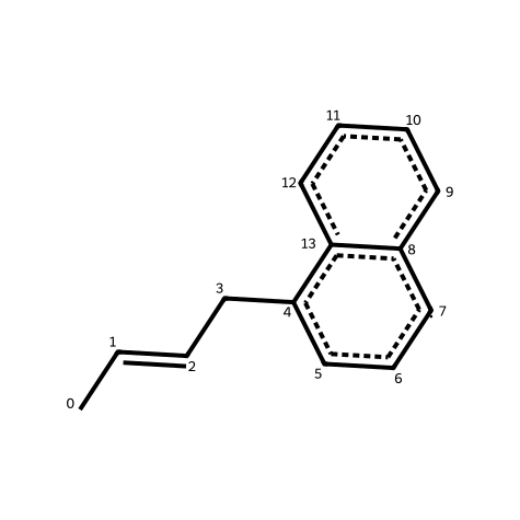 CC=CCc1cc[c]c2ccccc12